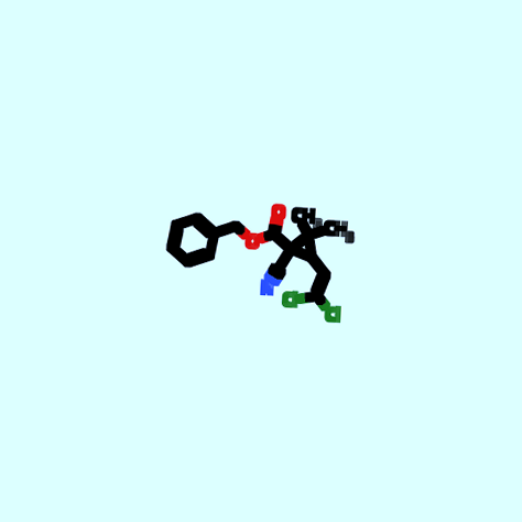 CC1(C)C(C=C(Cl)Cl)C1(C#N)C(=O)OCc1ccccc1